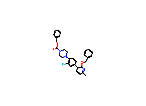 Cc1ccc(-c2ccc(N3CCN(C(=O)OCc4ccccc4)CC3)c(F)c2)c(OCc2ccccc2)n1